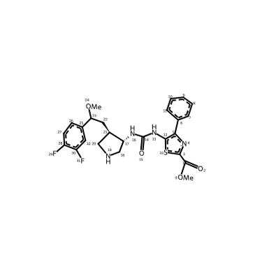 COC(=O)c1nc(-c2ccccc2)c(NC(=O)N[C@@H]2CNC[C@H]2CC(OC)c2ccc(F)c(F)c2)s1